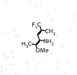 CO/C(C)=C(N)/C=C(\C)C(F)(F)F